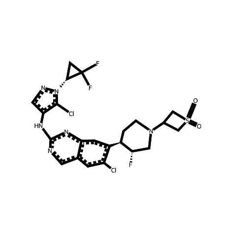 O=S1(=O)CC(N2CC[C@H](c3cc4nc(Nc5cnn([C@@H]6CC6(F)F)c5Cl)ncc4cc3Cl)[C@@H](F)C2)C1